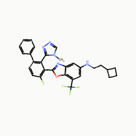 Cn1cnnc1-c1c(-c2ccccc2)ccc(F)c1-c1nc2cc(NCCC3CCC3)cc(C(F)(F)F)c2o1